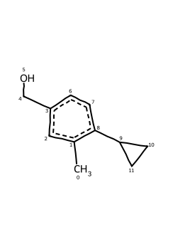 Cc1cc(CO)ccc1C1CC1